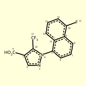 O=C(O)c1cnn(-c2cccc3c(F)cccc23)c1C(F)(F)F